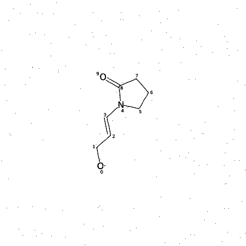 [O]CC=CN1CCCC1=O